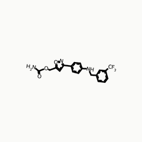 NC(=O)OCc1cc(-c2ccc(NCc3cccc(C(F)(F)F)c3)cc2)no1